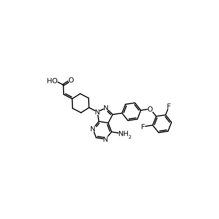 Nc1ncnc2c1c(-c1ccc(Oc3c(F)cccc3F)cc1)nn2C1CCC(=CC(=O)O)CC1